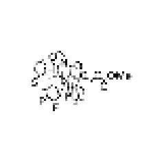 C=CC(=O)/C(OCOC(=O)OC)=C1/C(=O)N2CCOC[C@H]2N([C@@H]2c3ccccc3SCc3c2ccc(F)c3F)N1C